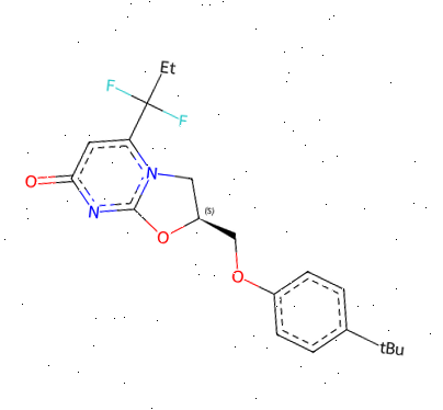 CCC(F)(F)c1cc(=O)nc2n1C[C@@H](COc1ccc(C(C)(C)C)cc1)O2